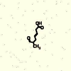 CC(C=O)CC=CCC(=O)O